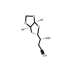 C#CC[C@@H](O)[C@@H]1C[C@H]2OCO[C@H]2O1